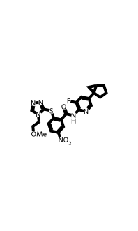 COCCn1cnnc1Sc1ccc([N+](=O)[O-])cc1C(=O)Nc1ncc(C23CCCC2C3)cc1F